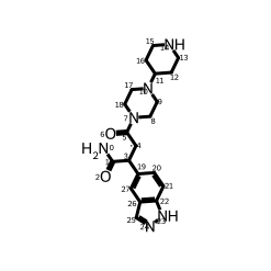 NC(=O)C([CH]C(=O)N1CCN(C2CCNCC2)CC1)c1ccc2[nH]ncc2c1